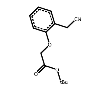 CC(C)(C)OC(=O)COc1ccccc1CC#N